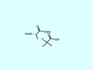 CN[C@@H](C)C(=O)OC.O=C(O)C(F)(F)F